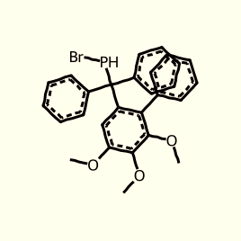 COc1cc(C(PBr)(c2ccccc2)c2ccccc2)c(-c2ccccc2)c(OC)c1OC